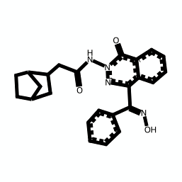 O=C(CC1CC2CCC1C2)Nn1nc(C(=NO)c2ccccc2)c2ccccc2c1=O